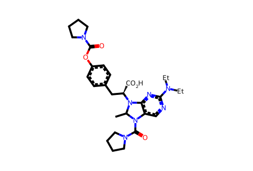 CCN(CC)c1ncc2c(n1)N([C@@H](Cc1ccc(OC(=O)N3CCCC3)cc1)C(=O)O)C(C)N2C(=O)N1CCCC1